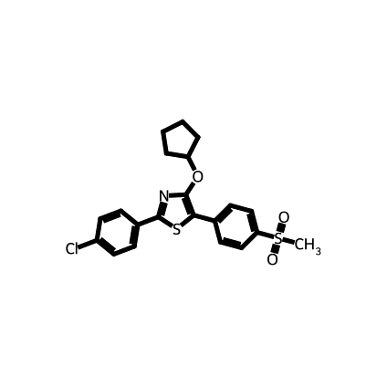 CS(=O)(=O)c1ccc(-c2sc(-c3ccc(Cl)cc3)nc2OC2CCCC2)cc1